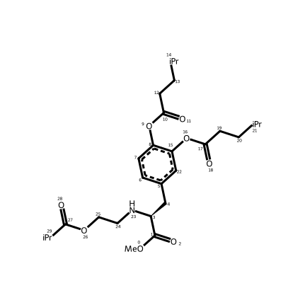 COC(=O)[C@H](Cc1ccc(OC(=O)CCC(C)C)c(OC(=O)CCC(C)C)c1)NCCOC(=O)C(C)C